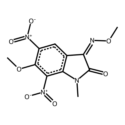 CO/N=C1\C(=O)N(C)c2c1cc([N+](=O)[O-])c(OC)c2[N+](=O)[O-]